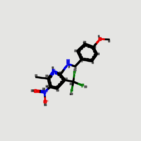 COc1ccc(CNc2nc(C)c([N+](=O)[O-])cc2C(F)(F)F)cc1